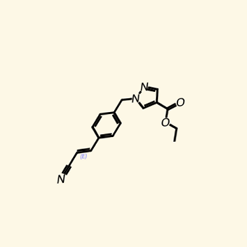 CCOC(=O)c1cnn(Cc2ccc(/C=C/C#N)cc2)c1